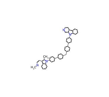 C=N/C=C\c1c(C)n(-c2ccc(-c3ccc(Cc4ccc(-c5ccc(-n6c7ccccc7c7ccncc76)cc5)cc4)cc3)cc2)c2ccccc12